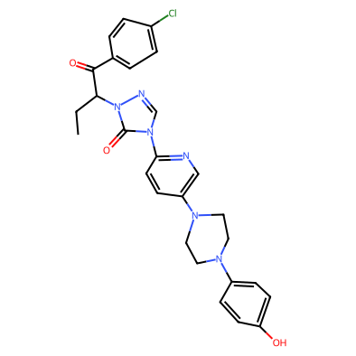 CCC(C(=O)c1ccc(Cl)cc1)n1ncn(-c2ccc(N3CCN(c4ccc(O)cc4)CC3)cn2)c1=O